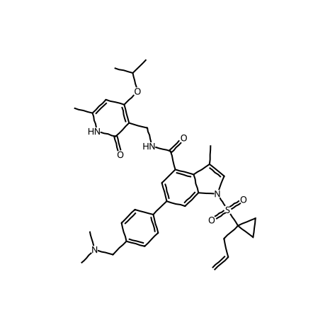 C=CCC1(S(=O)(=O)n2cc(C)c3c(C(=O)NCc4c(OC(C)C)cc(C)[nH]c4=O)cc(-c4ccc(CN(C)C)cc4)cc32)CC1